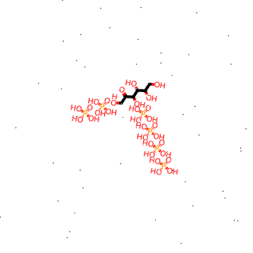 O=C(CO)C(O)C(O)C(O)CO.O=P(O)(O)O.O=P(O)(O)O.O=P(O)(O)O.O=P(O)(O)O.O=P(O)(O)O.O=P(O)(O)O